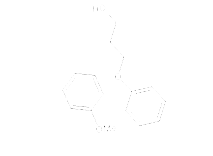 COc1ccccc1.OCCCOc1ccccc1